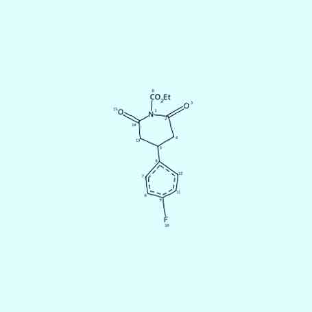 CCOC(=O)N1C(=O)CC(c2ccc(F)cc2)CC1=O